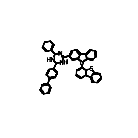 C1=CC2c3ccccc3SC2C(n2c3ccccc3c3ccc(C4=NC(C5=CCCC=C5)NC(c5ccc(-c6ccccc6)cc5)N4)cc32)=C1